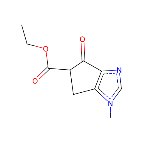 CCOC(=O)C1Cc2c(ncn2C)C1=O